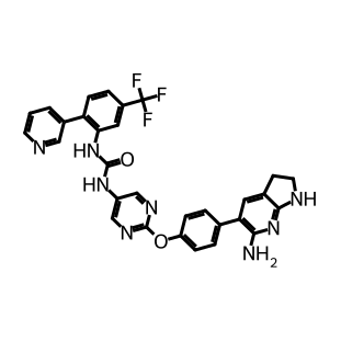 Nc1nc2c(cc1-c1ccc(Oc3ncc(NC(=O)Nc4cc(C(F)(F)F)ccc4-c4cccnc4)cn3)cc1)CCN2